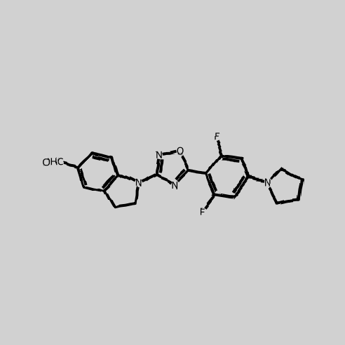 O=Cc1ccc2c(c1)CCN2c1noc(-c2c(F)cc(N3CCCC3)cc2F)n1